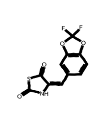 O=C1NC(=Cc2ccc3c(c2)OC(F)(F)O3)C(=O)S1